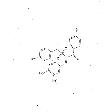 O=C(/C(=C/c1ccc(O)c([N+](=O)[O-])c1)S(=O)(=O)Cc1ccc(Br)cc1)c1ccc(Br)cc1